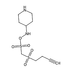 C#CCCS(=O)(=O)CS(=O)(=O)ONC1CCNCC1